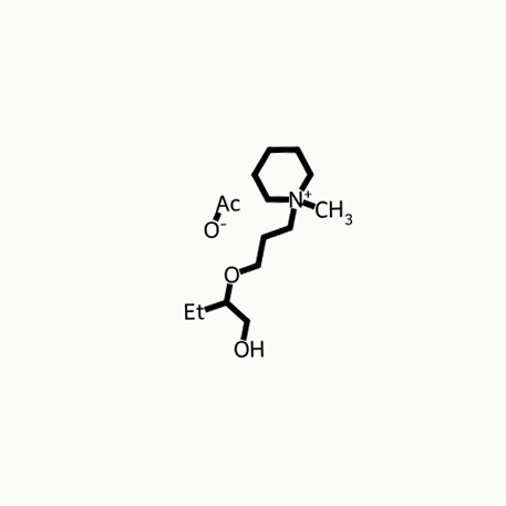 CC(=O)[O-].CCC(CO)OCCC[N+]1(C)CCCCC1